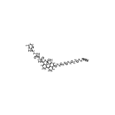 Cc1ccnc(NCCCC(=O)NCC(=O)NC(CC(=O)O)c2cccc(-c3cccc4c(OCCOCCOCCOCCOCCN=[N+]=[N-])cccc34)c2)c1